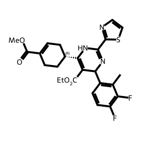 CCOC(=O)C1=C([C@H]2CC=C(C(=O)OC)CC2)NC(c2nccs2)=NC1c1ccc(F)c(F)c1C